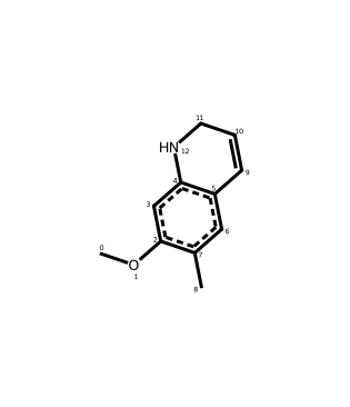 COc1cc2c(cc1C)C=CCN2